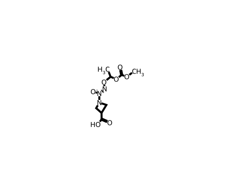 COC(=O)OC(C)O/N=[N+](\[O-])N1CC(C(=O)O)C1